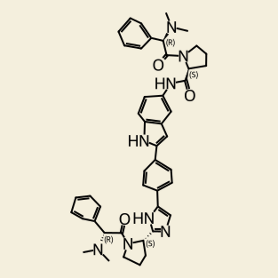 CN(C)[C@@H](C(=O)N1CCC[C@H]1C(=O)Nc1ccc2[nH]c(-c3ccc(-c4cnc([C@@H]5CCCN5C(=O)[C@@H](c5ccccc5)N(C)C)[nH]4)cc3)cc2c1)c1ccccc1